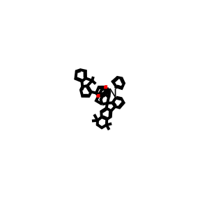 CC1(C)CCC(C)(C)c2cc3c(cc21)-c1cccc(N(c2ccccc2)c2ccc(-c4cccc5c4C(C)(C)c4ccccc4-5)cc2)c1C31C2CC3CC(C2)CC1C3